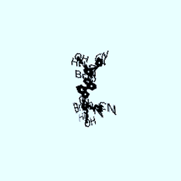 N#Cc1cncc(COc2nc(O[C@H]3CCc4c(-c5cccc6c5CC[C@@H]6Oc5nc(OCc6cncc(C#N)c6)c(CNCCO)cc5Br)cccc43)c(Br)cc2CNCCO)c1